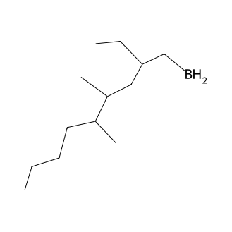 BCC(CC)CC(C)C(C)CCCC